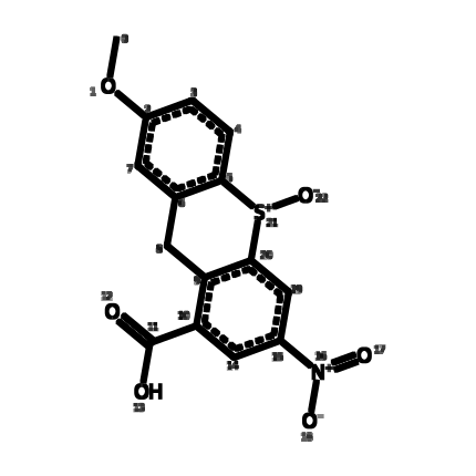 COc1ccc2c(c1)Cc1c(C(=O)O)cc([N+](=O)[O-])cc1[S+]2[O-]